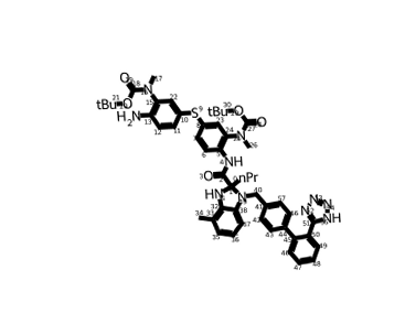 CCCC1(C(=O)Nc2ccc(Sc3ccc(N)c(N(C)C(=O)OC(C)(C)C)c3)cc2N(C)C(=O)OC(C)(C)C)Nc2c(C)c[c]cc2N1Cc1ccc(-c2ccccc2-c2nnn[nH]2)cc1